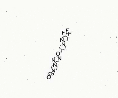 COOSN1CCN(c2cnc(OCC3CCN(c4ccc(C(F)(F)F)cn4)CC3)cn2)CC1